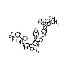 Cc1ncc(NC(=O)c2cccc(C(F)(F)F)c2)cc1-c1cnc(OCCN2CC3CC2CN3C(=O)OC(C)(C)C)c(N2CCOCC2)c1